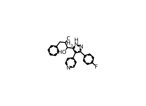 CC(Cc1ccccc1)C(O)c1[nH]nc(-c2ccc(F)cc2)c1-c1ccncc1